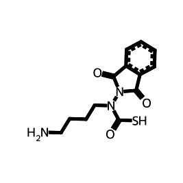 NCCCCN(C(=O)S)N1C(=O)c2ccccc2C1=O